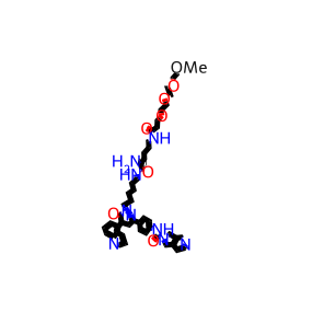 COCCOCCOCCOCCC(=O)NCCCC[C@H](N)C(=O)NCCCCCCN1N=C(c2ccc(NC(=O)N3Cc4ccncc4C3)cc2)CC(c2cccc3ncccc23)C1=O